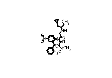 CCC(CC1CC1)NCc1nnc(CN(C)C)n1-c1ccc([N+](=O)[O-])cc1C(=O)c1ccccc1